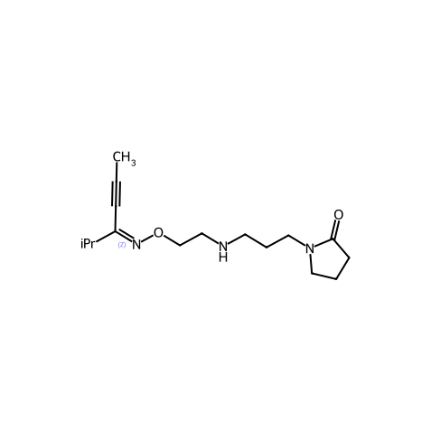 CC#C/C(=N\OCCNCCCN1CCCC1=O)C(C)C